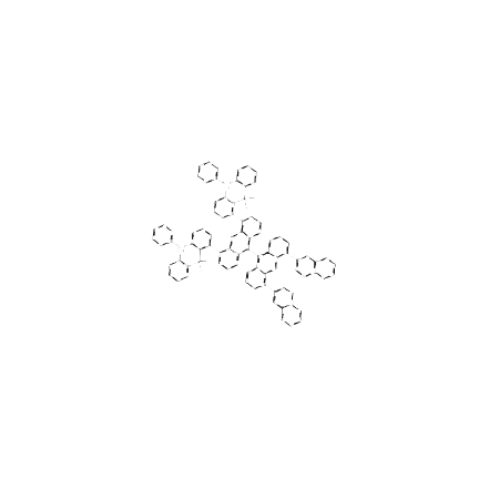 CC1(C)c2ccccc2N(c2ccccc2)c2cccc(-c3cccc4c(-c5c6cccc(-c7ccc8ccccc8c7)c6cc6c(-c7ccc8ccccc8c7)cccc56)c5cccc(-c6cccc7c6C(C)(C)c6ccccc6N7c6ccccc6)c5cc34)c21